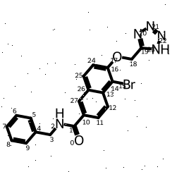 O=C(NCc1ccccc1)c1ccc2c(Br)c(OCc3nnn[nH]3)ccc2c1